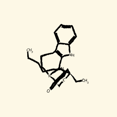 CCCCN1C(=O)C[C@]2(CC)CCCCN3CCc4c([nH]c5ccccc45)[C@@]312